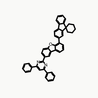 c1ccc(-c2cc(-c3ccccc3)nc(-c3ccc4oc5c(-c6ccc7c(c6)C6(CCCCC6)c6ccccc6-7)cccc5c4c3)n2)cc1